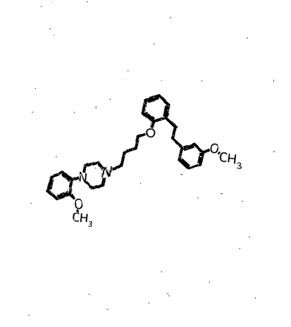 COc1cccc(CCc2ccccc2OCCCCN2CCN(c3ccccc3OC)CC2)c1